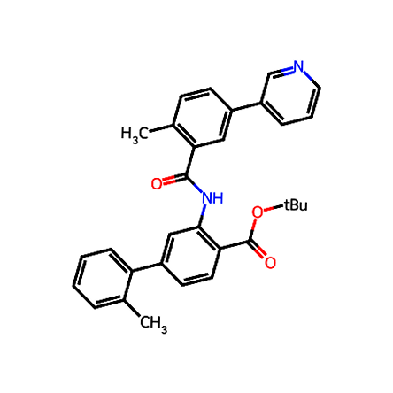 Cc1ccc(-c2cccnc2)cc1C(=O)Nc1cc(-c2ccccc2C)ccc1C(=O)OC(C)(C)C